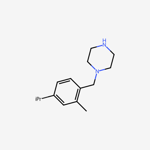 Cc1cc(C(C)C)ccc1CN1CCNCC1